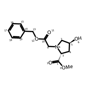 COC(=O)[C@H]1C[C@H](O)CN1CC(=O)OCc1ccccc1